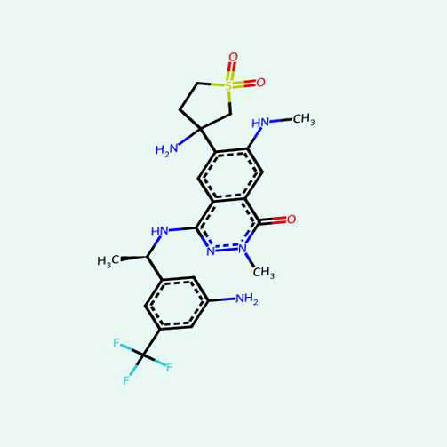 CNc1cc2c(=O)n(C)nc(N[C@H](C)c3cc(N)cc(C(F)(F)F)c3)c2cc1C1(N)CCS(=O)(=O)C1